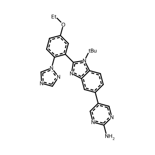 CCOc1ccc(-n2cncn2)c(-c2nc3cc(-c4cnc(N)nc4)ccc3n2C(C)(C)C)c1